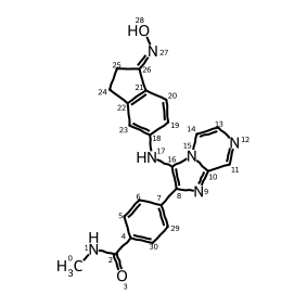 CNC(=O)c1ccc(-c2nc3cnccn3c2Nc2ccc3c(c2)CC/C3=N\O)cc1